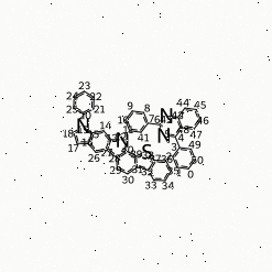 c1ccc(-c2nc(-c3cccc(-n4c5cc6c(ccn6-c6ccccc6)cc5c5ccc6c7ccccc7sc6c54)c3)nc3ccccc23)cc1